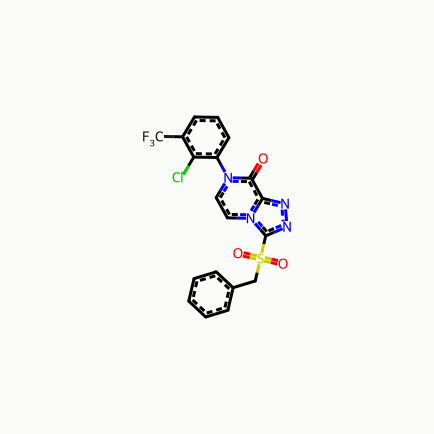 O=c1c2nnc(S(=O)(=O)Cc3ccccc3)n2ccn1-c1cccc(C(F)(F)F)c1Cl